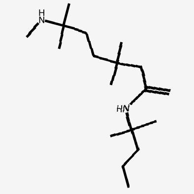 C=C(CC(C)(C)CCC(C)(C)NC)NC(C)(C)CCC